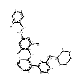 Cc1cc(NSc2ccccc2Cl)cc(C)c1Oc1ncccc1-c1ccnc(NC2CCCCC2)n1